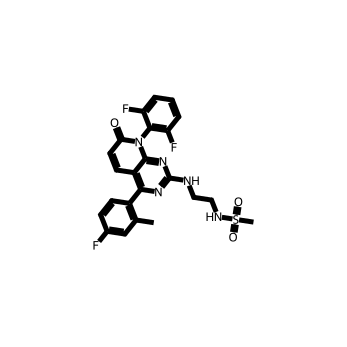 Cc1cc(F)ccc1-c1nc(NCCNS(C)(=O)=O)nc2c1ccc(=O)n2-c1c(F)cccc1F